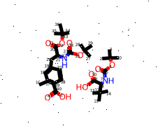 CC(C)(C)OC(=O)NC(C(=O)O)C(C)(C)C.Cc1cc(CC(NC(=O)OC(C)(C)C)C(=O)OC(C)(C)C)ccc1C(=O)O